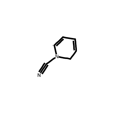 N#CN1[C]=CC=CC1